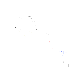 CNOCc1cccs1